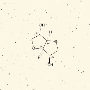 O[C@@H]1CS[C@H]2[C@@H]1OC[C@@H]2O